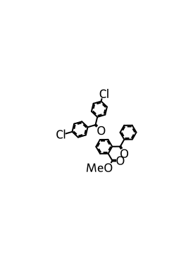 COC(=O)c1ccccc1C(=O)c1ccccc1.O=C(c1ccc(Cl)cc1)c1ccc(Cl)cc1